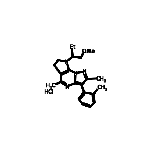 CCC(COC)N1CCc2c(C)nc3c(-c4ccccc4C)c(C)nn3c21.Cl